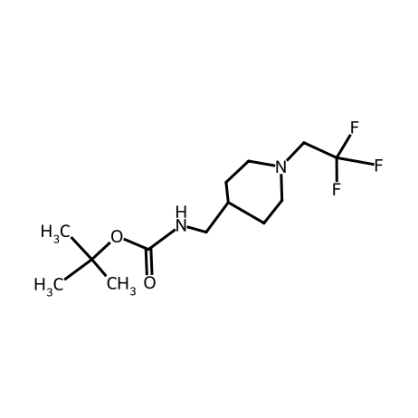 CC(C)(C)OC(=O)NCC1CCN(CC(F)(F)F)CC1